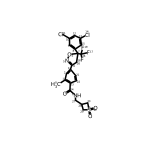 Cc1cc(C2=NOC(c3cc(Cl)cc(Cl)c3)(C(F)(F)F)C2)ccc1C(=O)NCC1CS(=O)(=O)C1